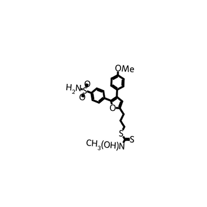 COc1ccc(-c2cc(CCCSC(=S)N(C)O)oc2-c2ccc(S(N)(=O)=O)cc2)cc1